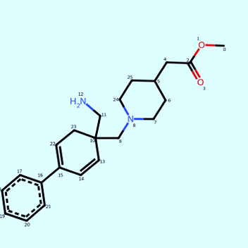 COC(=O)CC1CCN(CC2(CN)C=CC(c3ccccc3)=CC2)CC1